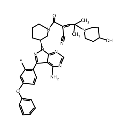 CC(C)(C=C(C#N)C(=O)N1CCC[C@H](n2nc(-c3ccc(Oc4ccccc4)cc3F)c3c(N)ncnc32)C1)N1CCC(O)CC1